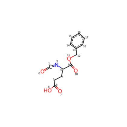 O=C=NC(CCC(=O)O)C(=O)OCc1ccccc1